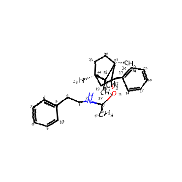 CC(NCCc1ccccc1)O[C@]1(c2ccccc2)C[C@H]2CC[C@]1(C)C2(C)C